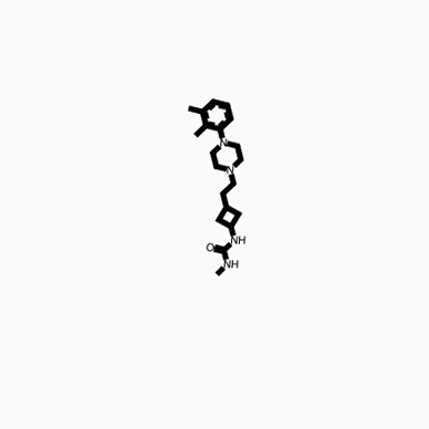 CNC(=O)NC1CC(CCN2CCN(c3cccc(C)c3C)CC2)C1